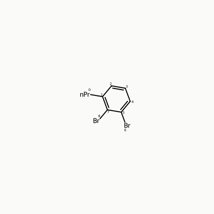 CCCc1cccc(Br)c1Br